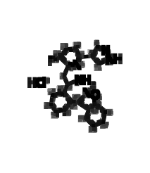 Cl.NC(Cc1nc(-c2cn[nH]c2)ccc1F)c1ccccc1-c1noc2ccccc12